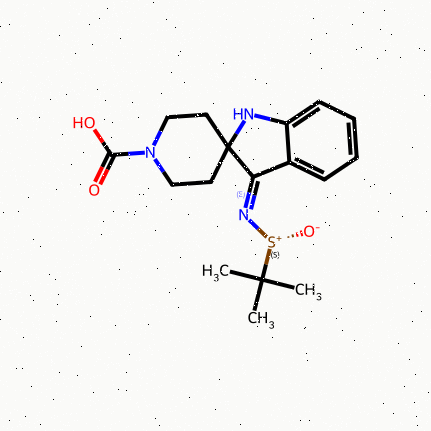 CC(C)(C)[S@@+]([O-])/N=C1\c2ccccc2NC12CCN(C(=O)O)CC2